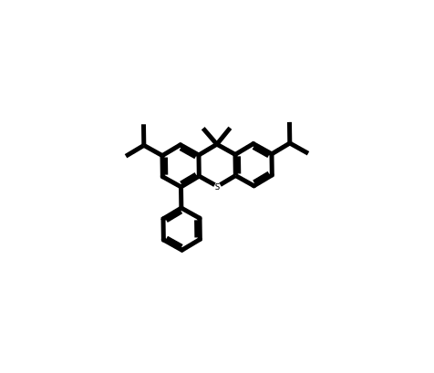 CC(C)c1ccc2c(c1)C(C)(C)c1cc(C(C)C)cc(-c3ccccc3)c1S2